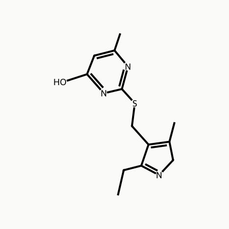 CCC1=NCC(C)=C1CSc1nc(C)cc(O)n1